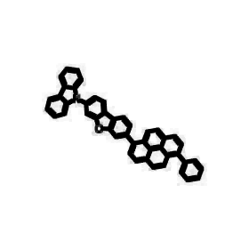 c1ccc(-c2ccc3ccc4c(-c5ccc6c(c5)oc5cc(-n7c8ccccc8c8ccccc87)ccc56)ccc5ccc2c3c54)cc1